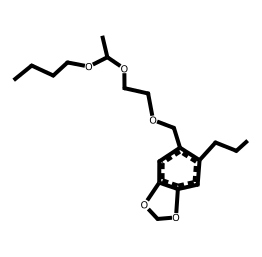 CCCCOC(C)OCCOCc1cc2c(cc1CCC)OCO2